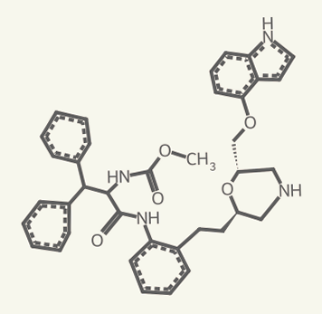 COC(=O)NC(C(=O)Nc1ccccc1CC[C@@H]1CNC[C@@H](COc2cccc3[nH]ccc23)O1)C(c1ccccc1)c1ccccc1